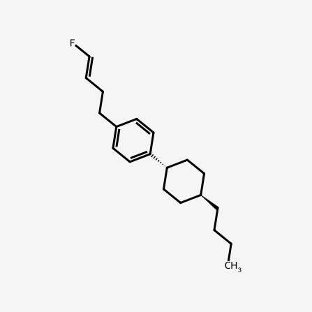 CCCC[C@H]1CC[C@H](c2ccc(CCC=CF)cc2)CC1